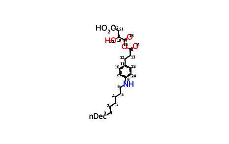 CCCCCCCCCCCCCCCCNc1ccc(CCC(=O)OC(=O)C(O)CC(=O)O)cc1